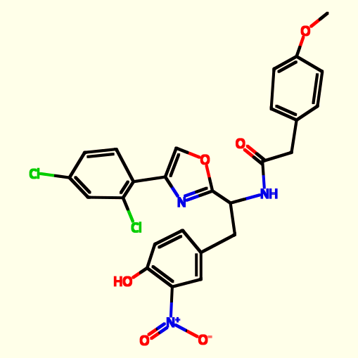 COc1ccc(CC(=O)NC(Cc2ccc(O)c([N+](=O)[O-])c2)c2nc(-c3ccc(Cl)cc3Cl)co2)cc1